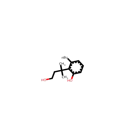 CCCCc1cccc(O)c1C(C)(C)CCO